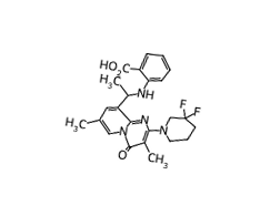 Cc1cc(C(C)Nc2ccccc2C(=O)O)c2nc(N3CCCC(F)(F)C3)c(C)c(=O)n2c1